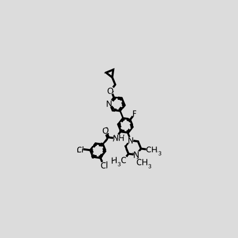 CC1CN(c2cc(F)c(-c3ccc(OCC4CC4)nc3)cc2NC(=O)c2cc(Cl)cc(Cl)c2)CC(C)N1C